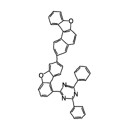 c1ccc(-c2nc(-c3ccccc3)nc(-c3cccc4oc5cc(-c6ccc7c(ccc8oc9ccccc9c87)c6)ccc5c34)n2)cc1